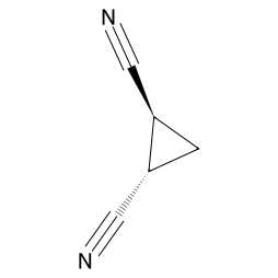 N#C[C@H]1C[C@@H]1C#N